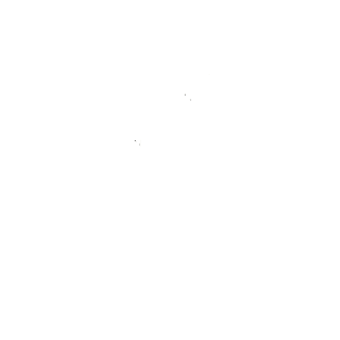 CC(=NO)c1cc(CO)ccn1